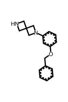 c1ccc(COc2cccc(N3CC4(CNC4)C3)c2)cc1